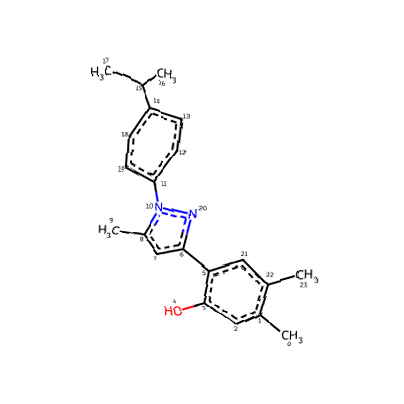 Cc1cc(O)c(-c2cc(C)n(-c3ccc(C(C)C)cc3)n2)cc1C